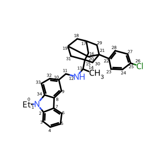 CCn1c2ccccc2c2cc(CNC(C)C34CC5CC(CC(c6ccc(Cl)cc6)(C5)C3)C4)ccc21